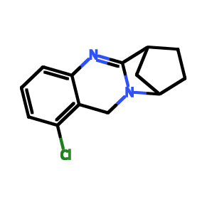 Clc1cccc2c1CN1C(=N2)C2CCC1C2